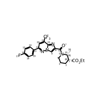 CCOC(=O)[C@@H]1CCCN(C(=O)c2cn3nc(-c4ccc(F)cc4)cc(C(F)(F)F)c3n2)[C@@H]1C